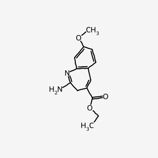 CCOC(=O)C1=Cc2ccc(OC)cc2N=C(N)C1